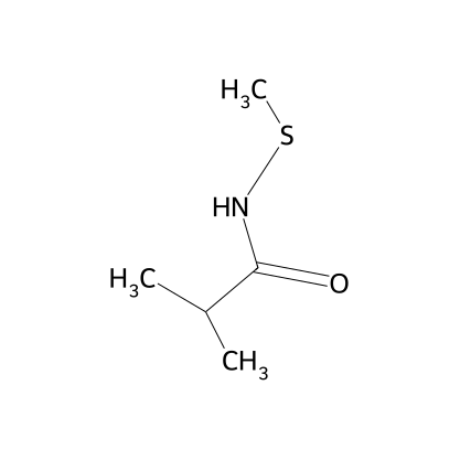 CSNC(=O)C(C)C